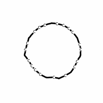 [CH]1CCCCCCCCCCCCCCCCCCCCCCCCCC1